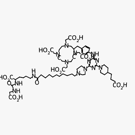 O=C(O)CCCC1CCN(c2nc(Nc3ccc(CC4CN(CC(=O)O)CCN(CC(=O)O)CCN(CC(=O)O)CCN4CC(=O)O)cc3)nc(N3CCN(CCCCCCCCCCC(=O)NCCCCC(NC(=O)NCC(=O)O)C(=O)O)CC3)n2)CC1